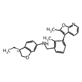 CC[C@@H]1COc2cc(NCc3cccc(-c4c(C)oc5ncccc45)c3C)ccc21